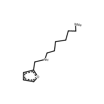 CNCCCCCCNCc1ccco1